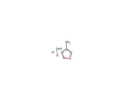 Cc1ccoc1.O=C[O-].[Li+]